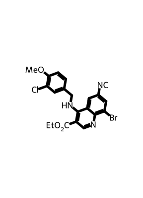 [C-]#[N+]c1cc(Br)c2ncc(C(=O)OCC)c(NCc3ccc(OC)c(Cl)c3)c2c1